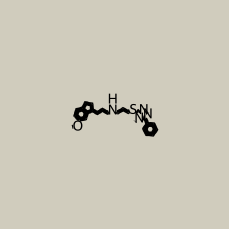 COc1ccc2c(c1)C(CCCNCCCSc1nnc(-c3ccccc3)n1C)CC2